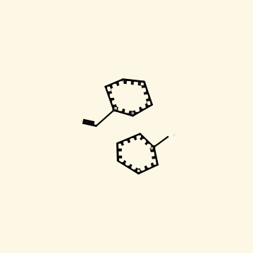 Brc1ccccc1.O=Cc1ccccc1